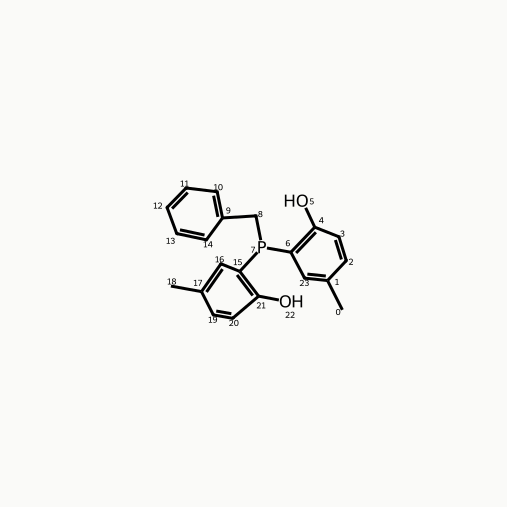 Cc1ccc(O)c(P(Cc2ccccc2)c2cc(C)ccc2O)c1